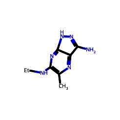 CCNc1nc2[nH]nc(N)c2nc1C